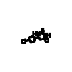 O=c1cc(-c2ccc(Cl)cc2)[nH]c(=S)[nH]1